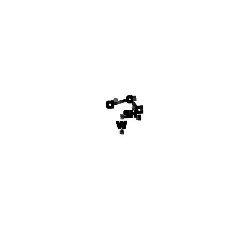 ClOCl.[SiH4].[W]